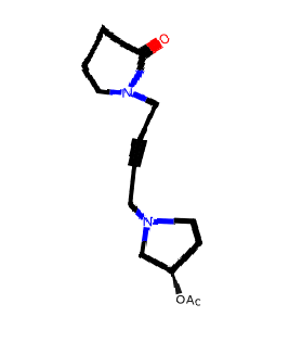 CC(=O)O[C@@H]1CCN(CC#CCN2CCCC2=O)C1